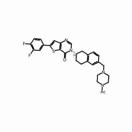 CC(=O)N1CCN(Cc2ccc3c(c2)CC[C@H](n2cnc4cc(-c5ccc(F)c(F)c5)sc4c2=O)C3)CC1